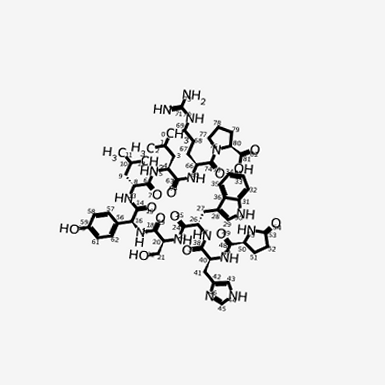 CC(C)C[C@H](NC(=O)[C@@H](CC(C)C)NC(=O)[C@@H](NC(=O)[C@H](CO)NC(=O)[C@H](Cc1c[nH]c2ccccc12)NC(=O)[C@H](Cc1c[nH]cn1)NC(=O)[C@@H]1CCC(=O)N1)c1ccc(O)cc1)C(=O)N[C@@H](CCCNC(=N)N)C(=O)N1CCC[C@H]1C(=O)O